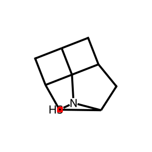 SN1C2CC3CC4CC(C2)C341